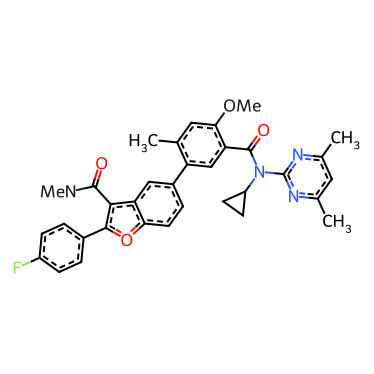 CNC(=O)c1c(-c2ccc(F)cc2)oc2ccc(-c3cc(C(=O)N(c4nc(C)cc(C)n4)C4CC4)c(OC)cc3C)cc12